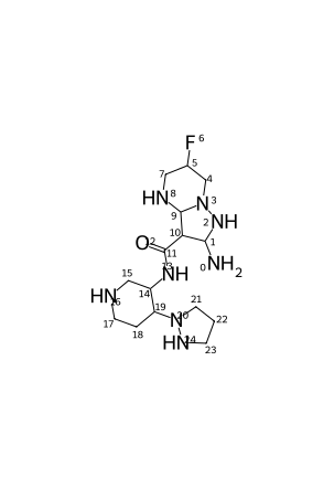 NC1NN2CC(F)CNC2C1C(=O)NC1CNCCC1N1CCCN1